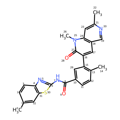 Cc1ccc2nc(NC(=O)c3ccc(C)c(-c4cc5cnc(C)cc5n(C)c4=O)c3)sc2c1